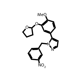 COc1ccc(-c2ccnn2Cc2cccc([N+](=O)[O-])c2)cc1OC1CCCO1